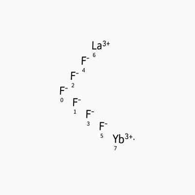 [F-].[F-].[F-].[F-].[F-].[F-].[La+3].[Yb+3]